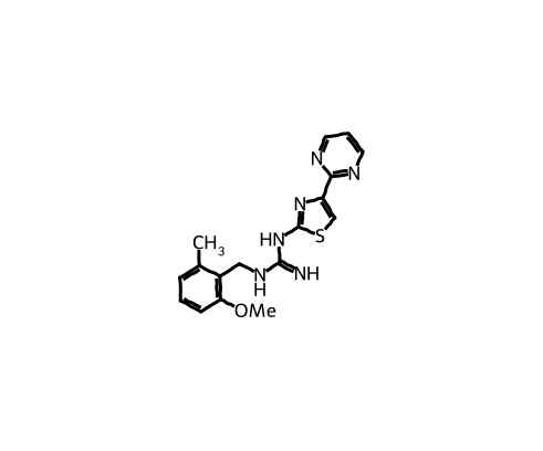 COc1cccc(C)c1CNC(=N)Nc1nc(-c2ncccn2)cs1